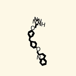 c1ccc2nc(COc3ccc(Cc4ccc(OCc5nnn[nH]5)cc4)cc3)ccc2c1